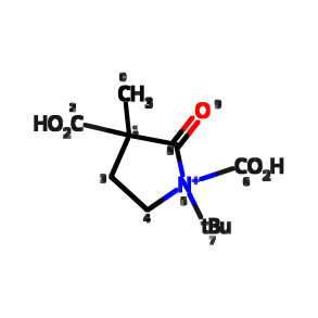 CC1(C(=O)O)CC[N+](C(=O)O)(C(C)(C)C)C1=O